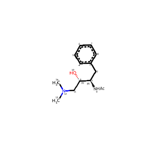 CC(=O)N[C@H](Cc1ccccc1)[C@@H](O)CN(C)C